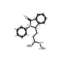 CCCCC(CCC1c2ccccc2C(=O)N1c1ccccc1)OC(C)(C)C